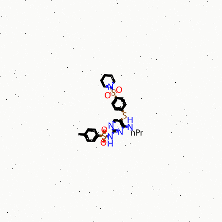 CCCNc1nc(NS(=O)(=O)c2ccc(C)cc2)ncc1Sc1ccc(S(=O)(=O)N2CCCCC2)cc1